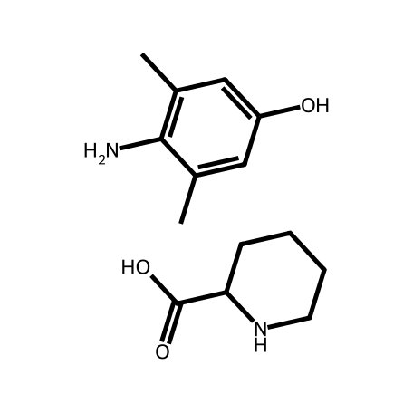 Cc1cc(O)cc(C)c1N.O=C(O)C1CCCCN1